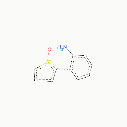 Nc1ccccc1-c1ccc[s+]1[O-]